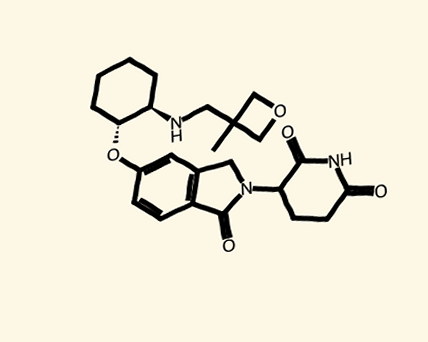 CC1(CN[C@@H]2CCCC[C@H]2Oc2ccc3c(c2)CN(C2CCC(=O)NC2=O)C3=O)COC1